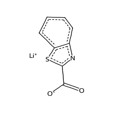 O=C([O-])c1nc2ccccc2s1.[Li+]